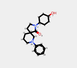 O=C1N(C2CCC(O)CC2)CCC12CCCN(c1cc[c]cc1)C2